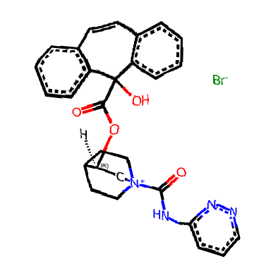 O=C(O[C@H]1C[N+]2(C(=O)Nc3cccnn3)CCC1CC2)C1(O)c2ccccc2C=Cc2ccccc21.[Br-]